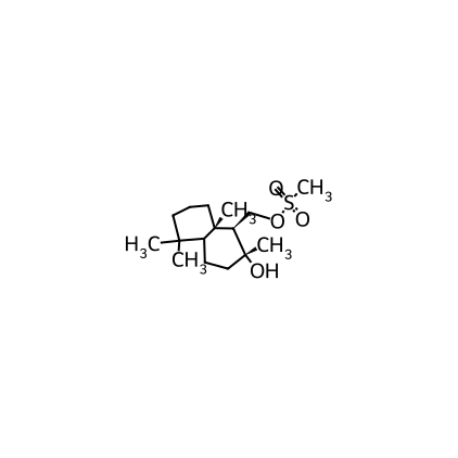 CC1(C)CCC[C@@]2(C)C1CC[C@@](C)(O)[C@@H]2COS(C)(=O)=O